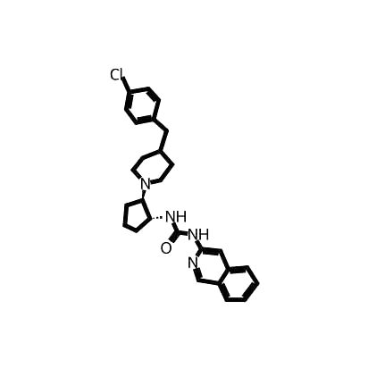 O=C(Nc1cc2ccccc2cn1)N[C@@H]1CCC[C@H]1N1CCC(Cc2ccc(Cl)cc2)CC1